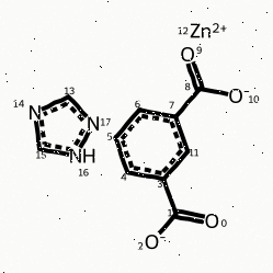 O=C([O-])c1cccc(C(=O)[O-])c1.[Zn+2].c1nc[nH]n1